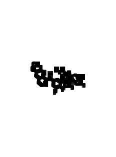 COc1cnc2c(Nc3cc(F)c(F)c([C@@]4(C)N=C(N)S[C@@]5(CO)[C@@H](C)[C@@H]54)c3)nccc2c1